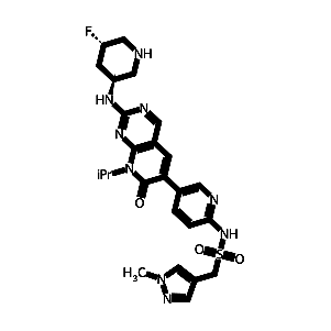 CC(C)n1c(=O)c(-c2ccc(NS(=O)(=O)Cc3cnn(C)c3)nc2)cc2cnc(N[C@@H]3CNC[C@@H](F)C3)nc21